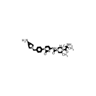 C[C@@H]1CN(C(=O)Nc2ccn(-c3ccc(CN4CC5C(N)C5C4)cc3)c(=O)n2)CCN1C(=O)C(C)(C)N